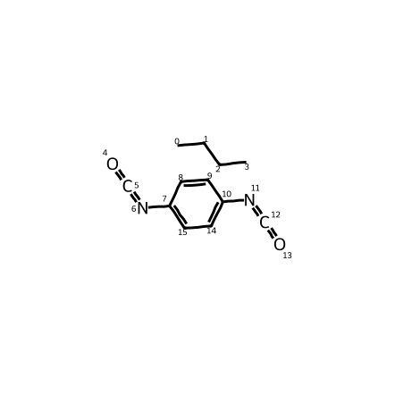 CCCC.O=C=Nc1ccc(N=C=O)cc1